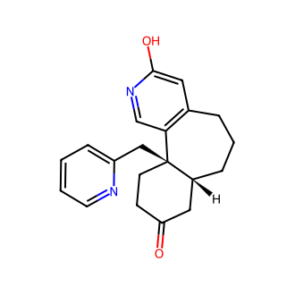 O=C1CC[C@]2(Cc3ccccn3)c3cnc(O)cc3CCC[C@@H]2C1